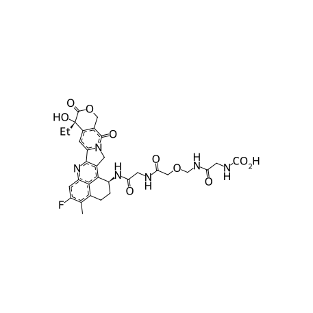 CC[C@@]1(O)C(=O)OCc2c1cc1n(c2=O)Cc2c-1nc1cc(F)c(C)c3c1c2[C@@H](NC(=O)CNC(=O)COCNC(=O)CNC(=O)O)CC3